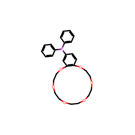 c1ccc(P(c2ccccc2)c2ccc3c(c2)OCCOCCOCCOCCOCCO3)cc1